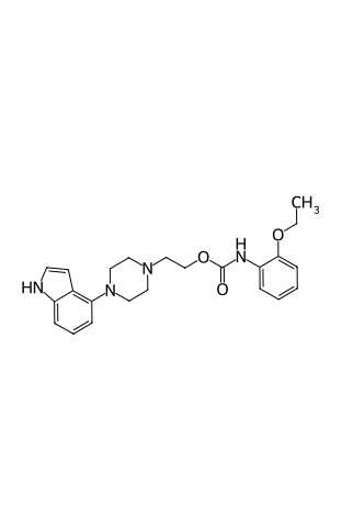 CCOc1ccccc1NC(=O)OCCN1CCN(c2cccc3[nH]ccc23)CC1